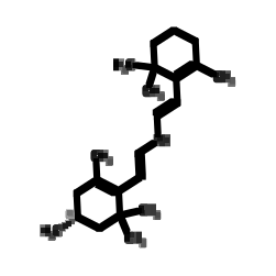 CC1=C(C=CPC=CC2=C(C)C[C@@H](C)CC2(C)C)C(C)(C)CCC1